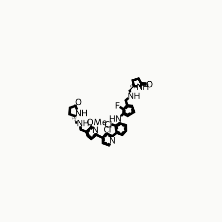 COc1nc(-c2ccnc(-c3cccc(Nc4cccc(CNC[C@H]5CCC(=O)N5)c4F)c3Cl)c2Cl)ccc1CNC[C@@H]1CCC(=O)N1